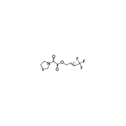 O=C(OC/C=C/C(F)(F)F)C(=O)N1CCSC1